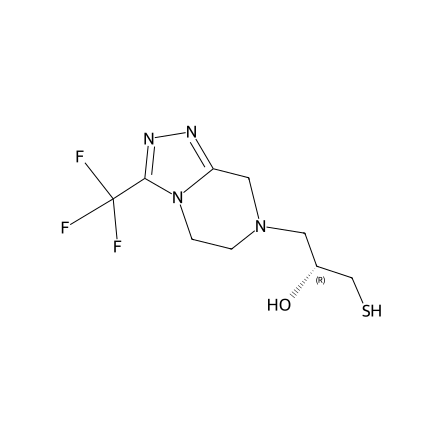 O[C@@H](CS)CN1CCn2c(nnc2C(F)(F)F)C1